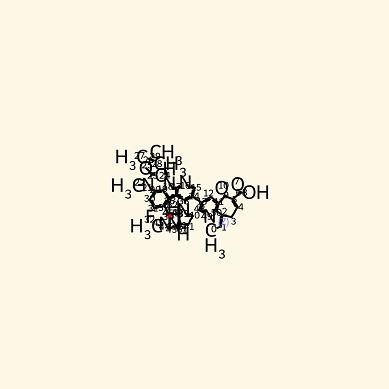 C/C=C1/CC=C(C(=O)O)C(=O)c2cc(-c3cnc4[nH]c5c(N(C)C(=O)OC(C)(C)C)cc(F)c(C#N)c5c4c3N3CC[C@H]4CN(C)C[C@H]43)cnc21